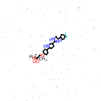 CC(C)(COC1CCC(C2=CCC(C3NCC(C4CCC(F)(F)CC4)N3)CN2)CC1)C(=O)O